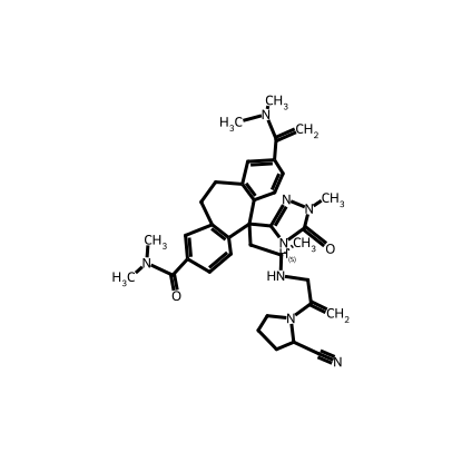 C=C(c1ccc2c(c1)CCc1cc(C(=O)N(C)C)ccc1C2(C[C@H](C)NCC(=C)N1CCCC1C#N)c1nn(C)c(=O)[nH]1)N(C)C